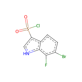 O=S(=O)(Cl)c1c[nH]c2c(F)c(Br)ccc12